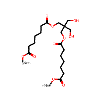 CCCCCCCCCOC(=O)CCCCCC(=O)OCC(CO)(CO)COC(=O)CCCCCC(=O)OCCCCCCCCC